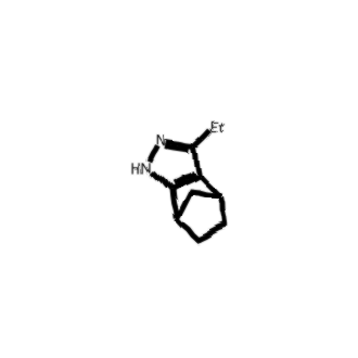 CCc1n[nH]c2c1C1CCC2C1